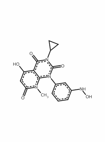 Cn1c(=O)cc(O)c2c(=O)n(C3CC3)c(=O)n(-c3cccc(NO)c3)c21